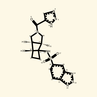 O=C(c1cnn[nH]1)N1C[C@@H]2[C@H]3CCC3(NS(=O)(=O)c3ccc4nsnc4c3)[C@@H]2C1